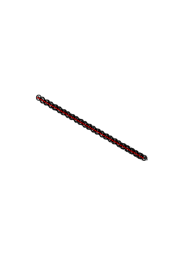 COCCCOOCCCOOCCCOOCCCOOCCCOOCCCOOCCCOOCCCOOCCCOOCCCOOCCCOOCCCOOCCCOOCCCOOCCCOOCCCOOCCCOOCCCOOCCCOOCCCOOCCCOOCCCOOCCCOOCCCOOCCCOC